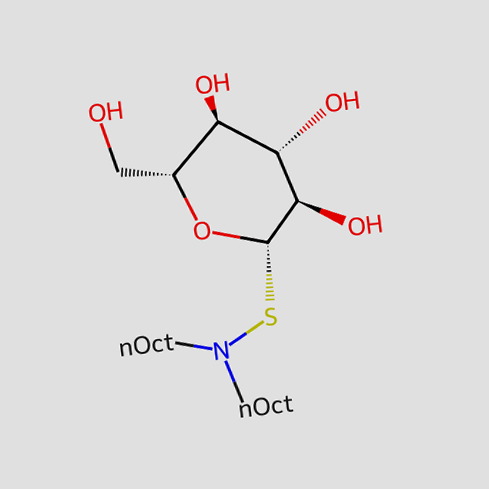 CCCCCCCCN(CCCCCCCC)S[C@@H]1O[C@H](CO)[C@@H](O)[C@H](O)[C@H]1O